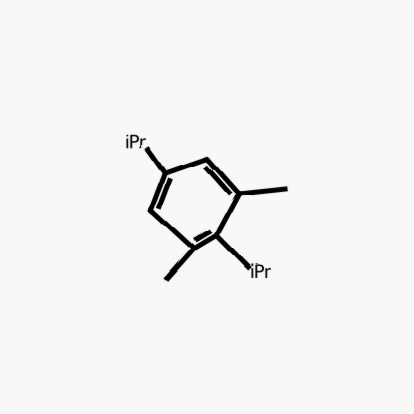 Cc1cc(C(C)C)cc(C)c1C(C)C